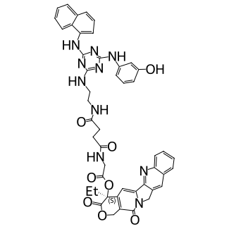 CC[C@@]1(OC(=O)CNC(=O)CCC(=O)NCCNc2nc(Nc3cccc(O)c3)nc(Nc3cccc4ccccc34)n2)C(=O)OCc2c1cc1n(c2=O)Cc2cc3ccccc3nc2-1